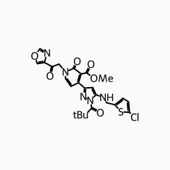 COC(=O)c1c(-c2cc(NCc3ccc(Cl)s3)n(C(=O)C(C)(C)C)n2)ccn(CC(=O)c2cocn2)c1=O